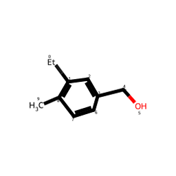 CCc1cc([CH]O)ccc1C